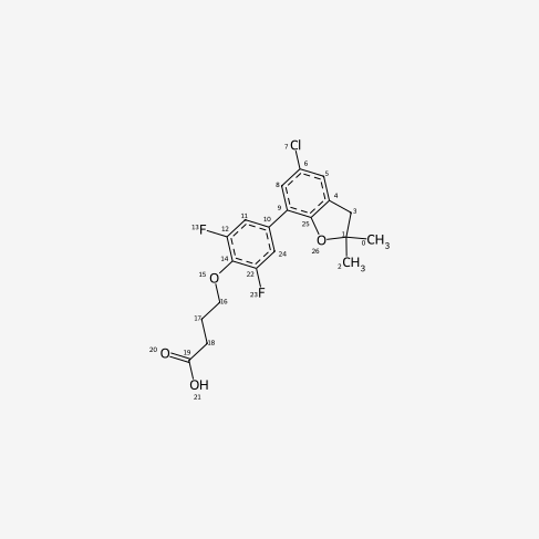 CC1(C)Cc2cc(Cl)cc(-c3cc(F)c(OCCCC(=O)O)c(F)c3)c2O1